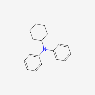 c1ccc(N(c2ccccc2)C2CCCCC2)cc1